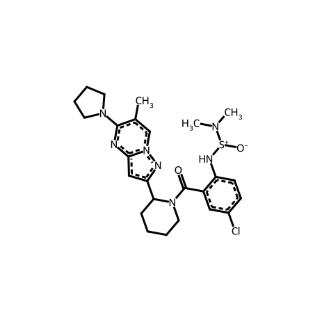 Cc1cn2nc(C3CCCCN3C(=O)c3cc(Cl)ccc3N[S+]([O-])N(C)C)cc2nc1N1CCCC1